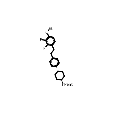 CCCCC[C@H]1CC[C@H](c2ccc(CCc3ccc(OCC)c(F)c3F)cc2)CC1